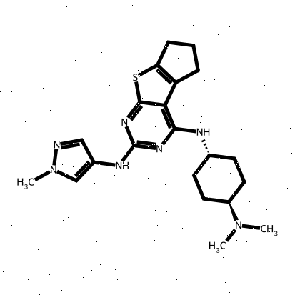 Cn1cc(Nc2nc(N[C@H]3CC[C@H](N(C)C)CC3)c3c4c(sc3n2)CCC4)cn1